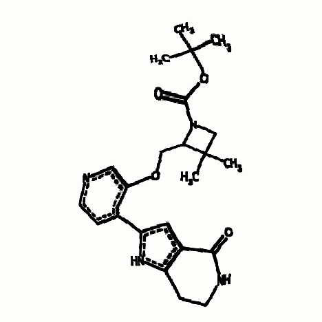 CC(C)(C)OC(=O)N1CC(C)(C)C1COc1cnccc1-c1cc2c([nH]1)CCNC2=O